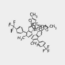 Cc1ccc(C2=Cc3c(ccc(C)c3-c3ccc(C(F)(F)F)cc3)[CH]2[Zr]([Cl])([Cl])([CH]2C(c3ccc(C)o3)=Cc3c2ccc(C)c3-c2ccc(C(F)(F)F)cc2)=[Si](C)C)o1